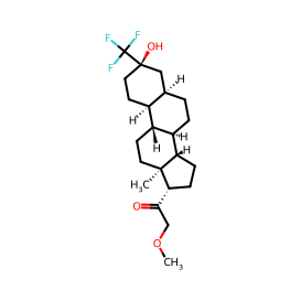 COCC(=O)[C@H]1CC[C@H]2[C@@H]3CC[C@@H]4C[C@@](O)(C(F)(F)F)CC[C@@H]4[C@H]3CC[C@]12C